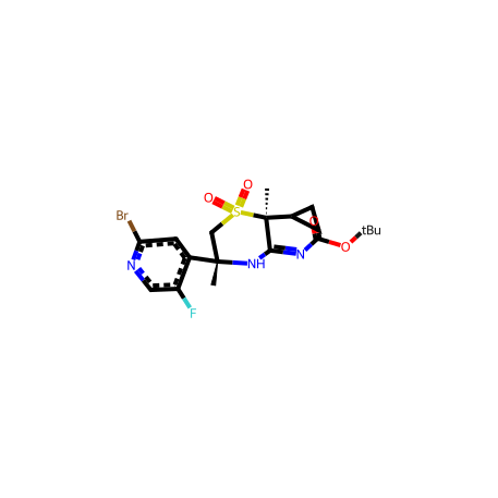 CC(C)(C)OC(=O)/N=C1/N[C@](C)(c2cc(Br)ncc2F)CS(=O)(=O)[C@@]1(C)C1CC1